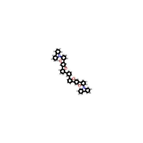 c1cc(-c2cccc3c2oc2cc4c(cc23)oc2c(-n3c5ccccc5c5ccccc53)cccc24)cc(-c2cccc3c2oc2cc4c(cc23)oc2c(-n3c5ccccc5c5ccccc53)cccc24)c1